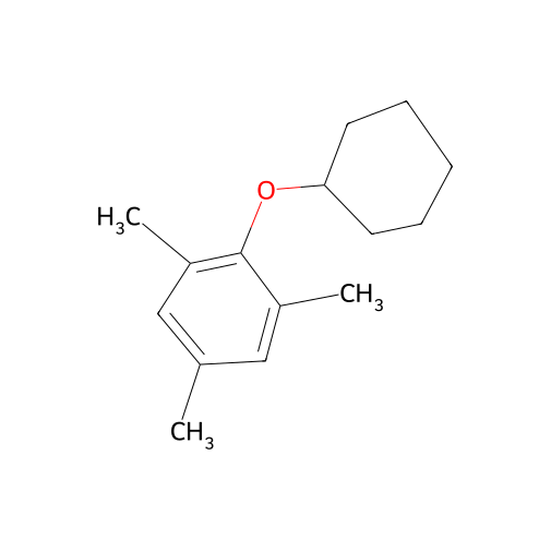 Cc1cc(C)c(OC2CCCCC2)c(C)c1